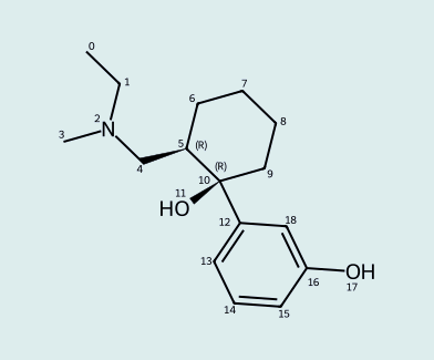 CCN(C)C[C@H]1CCCC[C@]1(O)c1cccc(O)c1